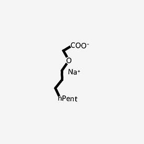 CCCCCCCCOCC(=O)[O-].[Na+]